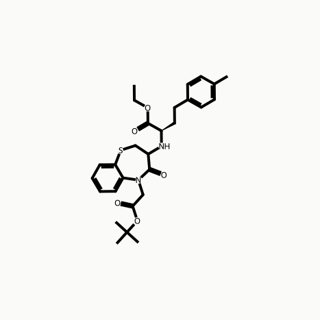 CCOC(=O)[C@@H](CCc1ccc(C)cc1)NC1CSc2ccccc2N(CC(=O)OC(C)(C)C)C1=O